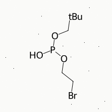 CC(C)(C)COP(O)OCCBr